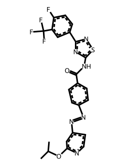 CC(C)Oc1cc(N=Nc2ccc(C(=O)Nc3nc(-c4ccc(F)c(C(F)(F)F)c4)ns3)cc2)ccn1